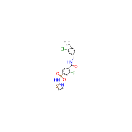 O=C(NCc1ccc(C(F)(F)F)c(Cl)c1)c1ccc(S(=O)(=O)Nc2nccs2)cc1F